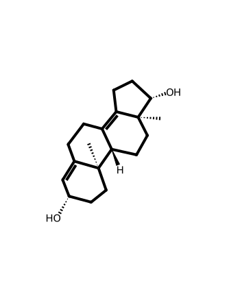 C[C@]12CC[C@H]3C(=C1CC[C@@H]2O)CCC1=C[C@@H](O)CC[C@@]13C